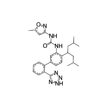 Cc1cc(NC(=O)Nc2cc(-c3ccccc3-c3nn[nH]n3)ccc2C(CC(C)C)CC(C)C)no1